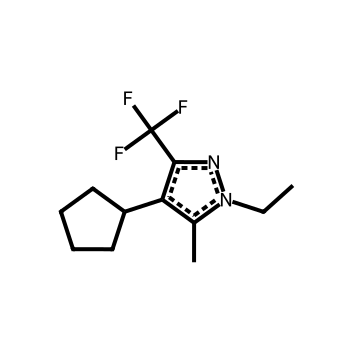 CCn1nc(C(F)(F)F)c(C2CCCC2)c1C